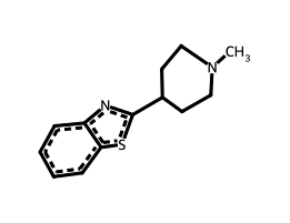 CN1CCC(c2nc3ccccc3s2)CC1